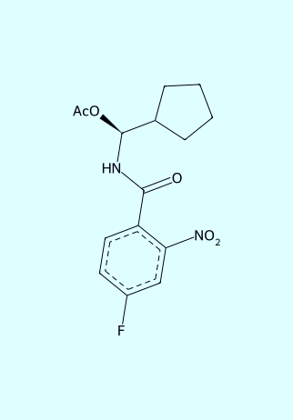 CC(=O)O[C@H](NC(=O)c1ccc(F)cc1[N+](=O)[O-])C1CCCC1